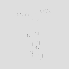 COc1cc(CCNc2nccn3c(N(C(=O)O)C(C)C)nnc23)cc(OC)c1